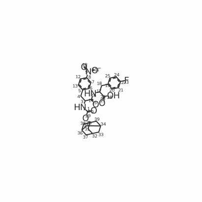 O=C(NC(Cc1ccc([N+](=O)[O-])cc1)C(=O)NC(Cc1ccc(F)cc1)C(=O)O)OC12CC3CC(CC(C3)C1)C2